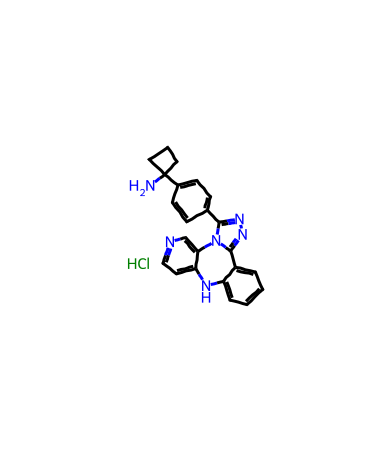 Cl.NC1(c2ccc(-c3nnc4n3-c3cnccc3Nc3ccccc3-4)cc2)CCC1